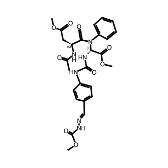 COC(=O)C[C@H](NC(C)=O)C(=O)N(c1ccccc1)[C@@H](NC(=O)Nc1ccc(C=NNC(=O)OC)cc1)C(=O)OC